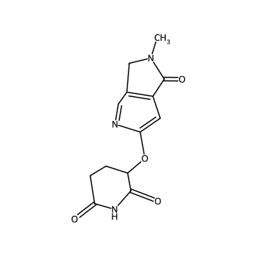 CN1Cc2cnc(OC3CCC(=O)NC3=O)cc2C1=O